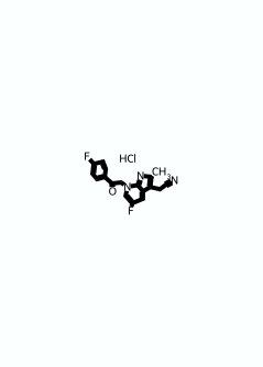 Cc1nc2n(CC(=O)c3ccc(F)cc3)cc(F)cc-2c1CC#N.Cl